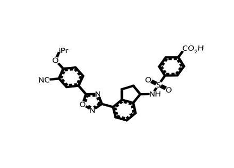 CC(C)Oc1ccc(-c2nc(-c3cccc4c3CCC4NS(=O)(=O)c3ccc(C(=O)O)cc3)no2)cc1C#N